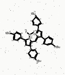 CC(C)(C)c1ccc(C2=CC(c3ccc(C(C)(C)C)cc3)=N/C2=C\c2c(-c3ccc(C(C)(C)C)cc3)cc(-c3ccc(C(C)(C)C)cc3)n2B(F)F)cc1